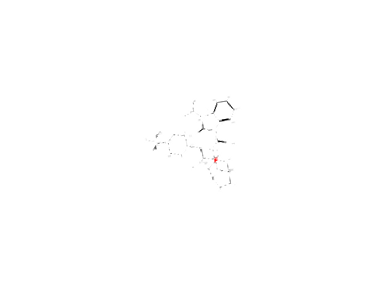 CC(C)n1c(=O)n(C(=O)NC2CC3CCC(C2)N3CC(O)CN2CCN(S(C)(=O)=O)CC2)c2ccccc21